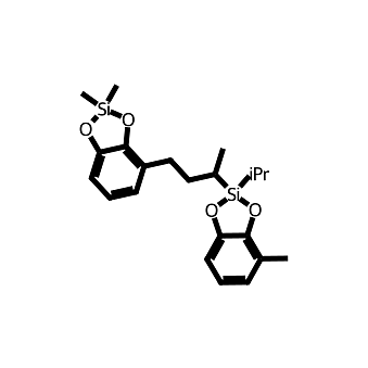 Cc1cccc2c1O[Si](C(C)C)(C(C)CCc1cccc3c1O[Si](C)(C)O3)O2